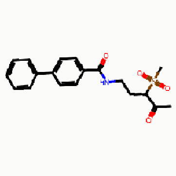 CC(=O)C(CCNC(=O)c1ccc(-c2ccccc2)cc1)S(C)(=O)=O